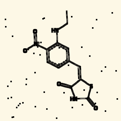 CCNc1cc(C=C2SC(=O)NC2=O)ccc1[N+](=O)[O-]